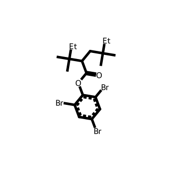 CCC(C)(C)CC(C(=O)Oc1c(Br)cc(Br)cc1Br)C(C)(C)CC